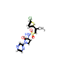 C/C(=C/S(=O)(=O)N[C@H]1CCN(c2cnccn2)C1=O)c1ccc(Cl)s1